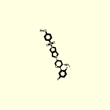 COc1ccc(S(=O)(=O)N2CC3=C(CN([C@H]4CO[C@H](c5cc(F)ccc5F)[C@@H](N)C4)C3)C2)cc1